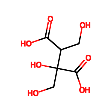 O=C(O)C(CO)C(O)(CO)C(=O)O